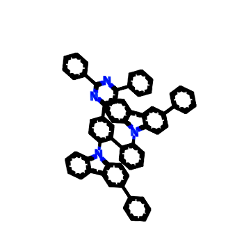 c1ccc(-c2ccc3c(c2)c2ccccc2n3-c2ccccc2-c2cc(-c3cc(-c4ccccc4)nc(-c4ccccc4)n3)ccc2-n2c3ccccc3c3cc(-c4ccccc4)ccc32)cc1